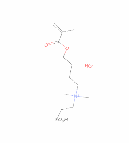 C=C(C)C(=O)OCCCC[N+](C)(C)CCS(=O)(=O)O.[OH-]